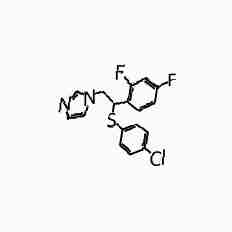 Fc1ccc(C(Cn2ccnc2)Sc2ccc(Cl)cc2)c(F)c1